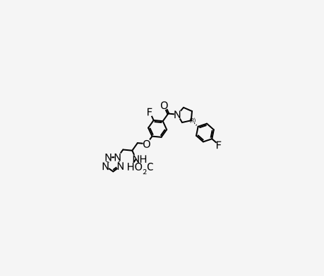 O=C(O)NC(COc1ccc(C(=O)N2CC[C@H](c3ccc(F)cc3)C2)c(F)c1)Cn1ncnn1